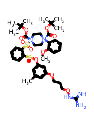 COc1ccccc1[N+]1(C(=O)OC(C)(C)C)CC[N+](C(=O)OC(C)(C)C)(S(=O)(=O)c2ccccc2S(=O)(=O)Oc2cc(C)cc(OCCCONC(=N)N)c2)CC1